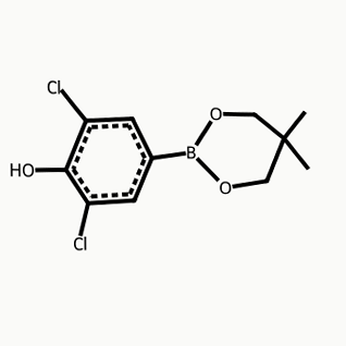 CC1(C)COB(c2cc(Cl)c(O)c(Cl)c2)OC1